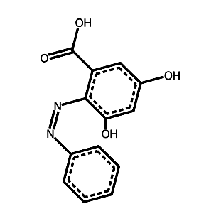 O=C(O)c1cc(O)cc(O)c1/N=N\c1ccccc1